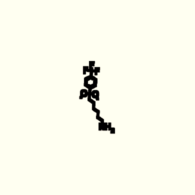 COC(CCCCCCN)(OC)c1ccc(C(F)(F)F)cc1